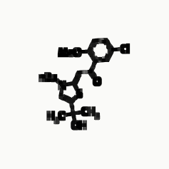 CCCCN1C=C(C(C)(C)O)SC1=CC(=O)c1cc(Cl)ccc1OC